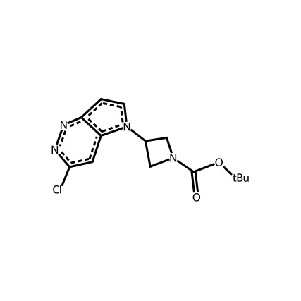 CC(C)(C)OC(=O)N1CC(n2ccc3nnc(Cl)cc32)C1